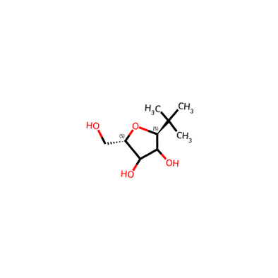 CC(C)(C)[C@@H]1O[C@@H](CO)C(O)C1O